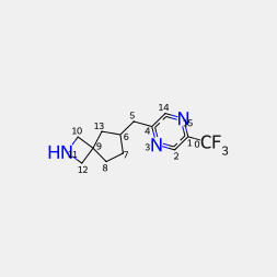 FC(F)(F)c1cnc(CC2CCC3(CNC3)C2)cn1